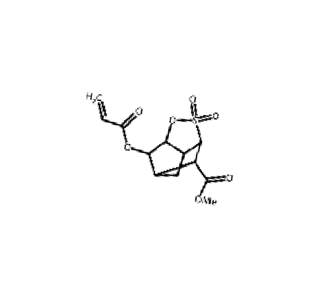 C=CC(=O)OC1C2CC3C1OS(=O)(=O)C3C2C(=O)OC